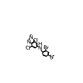 CN(C)/C=N\c1c(Cl)cc(NCc2ccc(N(C)C)cc2Br)cc1Cl